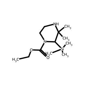 CCOC(=O)N1CCNC(C)(C)C1[Si](C)(C)C